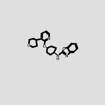 c1cnc(O[C@H]2CC[C@H](Nc3nc4ccccc4o3)CC2)c(C2CCOCC2)c1